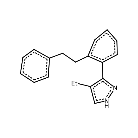 CCc1c[nH]nc1-c1ccccc1CCc1ccccc1